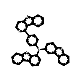 c1ccc2c(c1)sc1ccc(N(c3ccc(-c4nccc5sc6ccccc6c45)cc3)c3cccc4c3sc3ccccc34)cc12